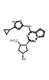 CCOC(=O)[C@@H]1C[C@H](O)CN1c1nc(Nc2cc(C3CC3)[nH]n2)c2cccn2n1